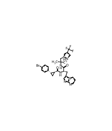 CC(C)(Cn1cc(C(F)(F)F)cn1)NC(=O)[C@@H](Cc1cnc2ncccn12)NC(=O)[C@H]1C[C@@H]1c1ccc(Br)cc1